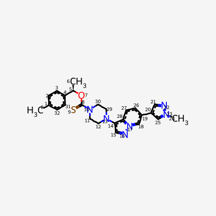 Cc1ccc([C@@H](C)OC(=S)N2CCN(c3cnn4cc(-c5cnn(C)c5)ccc34)CC2)cc1